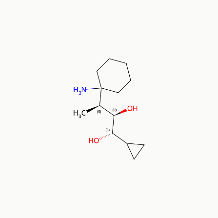 C[C@H]([C@@H](O)[C@@H](O)C1CC1)C1(N)CCCCC1